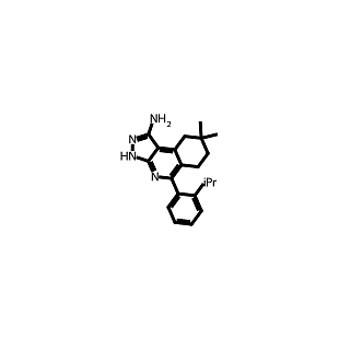 CC(C)c1ccccc1-c1nc2[nH]nc(N)c2c2c1CCC(C)(C)C2